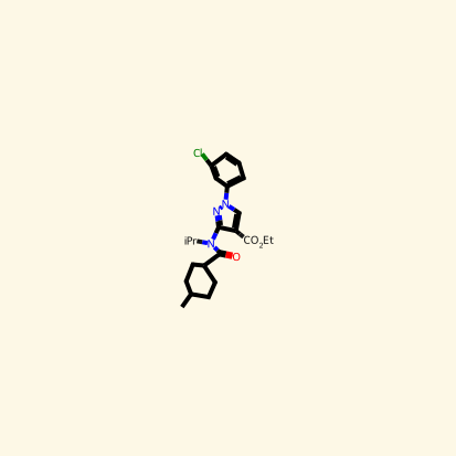 CCOC(=O)c1cn(-c2cccc(Cl)c2)nc1N(C(=O)C1CCC(C)CC1)C(C)C